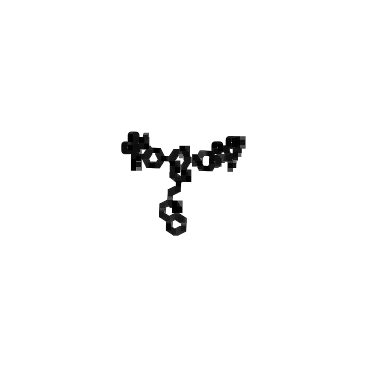 CN1c2cc(-c3cnc(N4CCOCC4)c4nc(C=Cc5ccc6ccccc6n5)cn34)ccc2NS1(=O)=O.O=C(O)C(F)(F)F